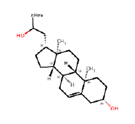 CCCCCCC(O)C[C@H]1CC[C@H]2[C@@H]3CC=C4C[C@@H](O)CC[C@]4(C)[C@H]3CC[C@]12C